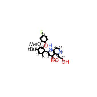 COc1cc(F)ccc1Oc1cc(C(C)(C)C)cc(C)c1-c1cc(=O)c2c([C@@H](O)CO)nccc2[nH]1